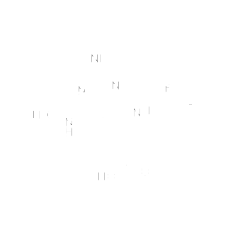 CNc1nc(N)nc2nc(-c3ccccc3C(F)(F)F)c(C(=O)O)cc12